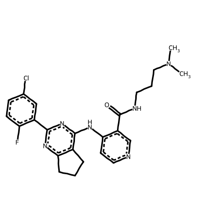 CN(C)CCCNC(=O)c1cnccc1Nc1nc(-c2cc(Cl)ccc2F)nc2c1CCC2